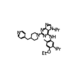 CCOc1cc(C)c(Nc2nc(N3CCC(Cc4ccncc4)CC3)nc3ncn(C(C)C)c23)cc1C(C)C